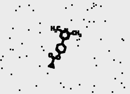 Cc1cc(C2CC=C(OC(=O)C3CC3)CC2)cc(C)n1